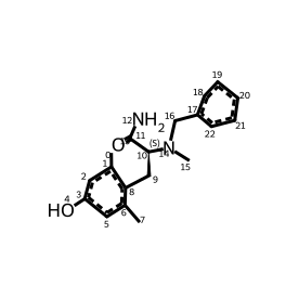 Cc1cc(O)cc(C)c1C[C@@H](C(N)=O)N(C)Cc1ccccc1